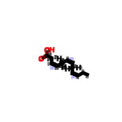 [2H]C([2H])(/C=C\CC)/C=C\C([2H])([2H])/C=C\CC(=O)O